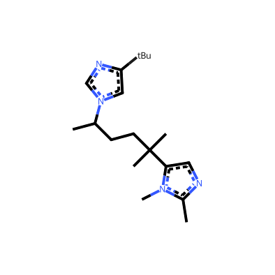 Cc1ncc(C(C)(C)CCC(C)n2cnc(C(C)(C)C)c2)n1C